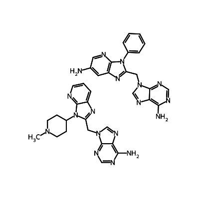 CN1CCC(n2c(Cn3cnc4c(N)ncnc43)nc3cccnc32)CC1.Nc1cnc2c(c1)nc(Cn1cnc3c(N)ncnc31)n2-c1ccccc1